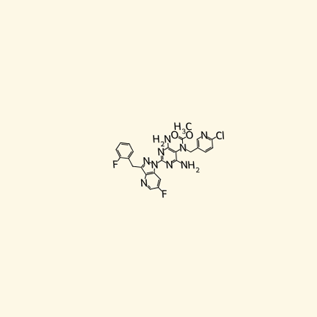 COC(=O)N(Cc1ccc(Cl)nc1)c1c(N)nc(-n2nc(Cc3ccccc3F)c3ncc(F)cc32)nc1N